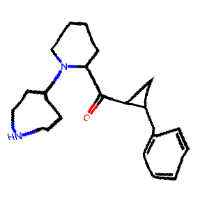 O=C(C1CC1c1ccccc1)C1CCCCN1C1CCNCC1